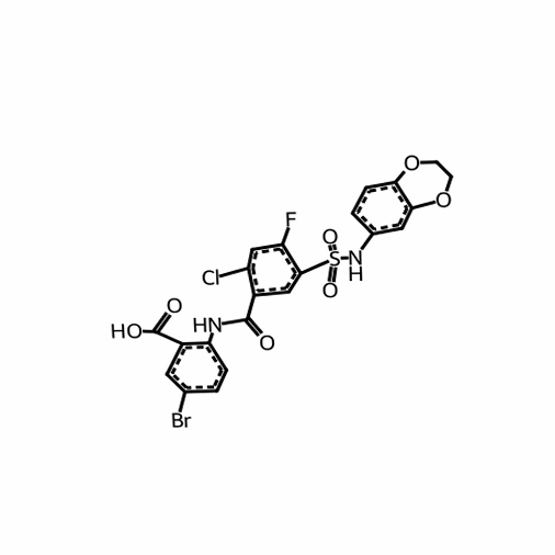 O=C(Nc1ccc(Br)cc1C(=O)O)c1cc(S(=O)(=O)Nc2ccc3c(c2)OCCO3)c(F)cc1Cl